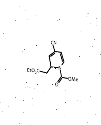 CCOC(=O)CC1C=C(C#N)C=CN1C(=O)OC